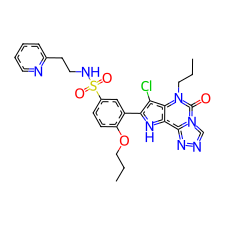 CCCOc1ccc(S(=O)(=O)NCCc2ccccn2)cc1-c1[nH]c2c(c1Cl)n(CCC)c(=O)n1cnnc21